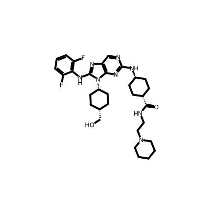 O=C(NCCN1CCCCC1)[C@H]1CC[C@H](Nc2ncc3nc(Nc4c(F)cccc4F)n([C@H]4CC[C@@H](CO)CC4)c3n2)CC1